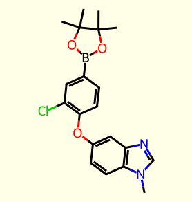 Cn1cnc2cc(Oc3ccc(B4OC(C)(C)C(C)(C)O4)cc3Cl)ccc21